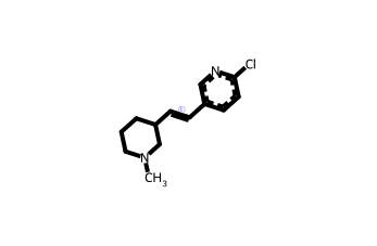 CN1CCCC(/C=C/c2ccc(Cl)nc2)C1